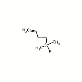 C=CCC[Si](C)(C)F